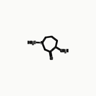 O=C(O)C1CCCN(C(=O)O)CC1=O